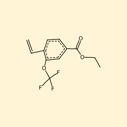 C=Cc1ccc(C(=O)OCC)cc1OC(F)(F)F